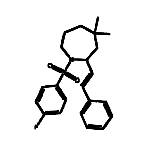 CC1(C)CCCN(S(=O)(=O)c2ccc(F)cc2)C(/C=C/c2ccccc2)C1